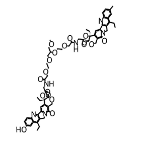 CCc1c2c(nc3ccc(O)cc13)-c1cc3c(c(=O)n1C2)COC(=O)[C@@]3(CC)OC(=O)CNC(=O)COCCOCC(COC)OCCOCC(=O)NCC(=O)O[C@]1(CC)C(=O)OCc2c1cc1n(c2=O)Cc2c-1nc1ccc(C)cc1c2CC